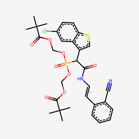 CC(C)(C)C(=O)OCOP(=O)(OCOC(=O)C(C)(C)C)C(C(=O)N/C=C/c1ccccc1C#N)c1csc2ccc(Cl)cc12